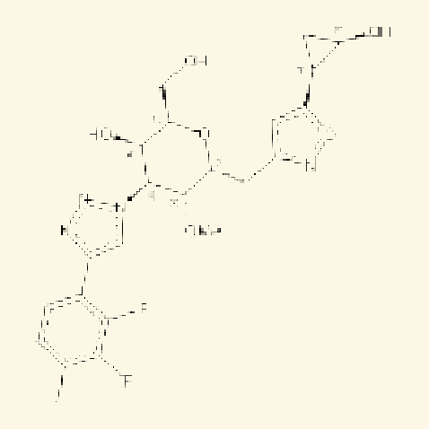 CO[C@@H]1[C@@H](n2cc(-c3ccc(C)c(F)c3F)nn2)[C@@H](O)[C@@H](CO)O[C@@H]1Cc1cc([C@H]2C[C@H]2O)on1